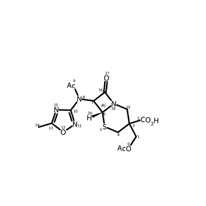 CC(=O)OCC1(C(=O)O)CS[C@@H]2C(N(C(C)=O)c3noc(C)n3)C(=O)N2C1